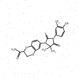 CC1(C)C(=O)N(c2ccc(C#N)c(C(F)(F)F)c2)C(=S)N1c1ccc2c(c1)OCC(C(N)=O)O2